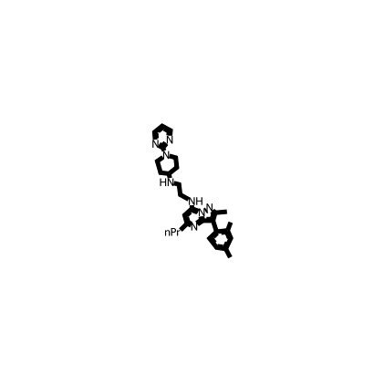 CCCc1cc(NCCNC2CCN(c3ncccn3)CC2)n2nc(C)c(-c3ccc(C)cc3C)c2n1